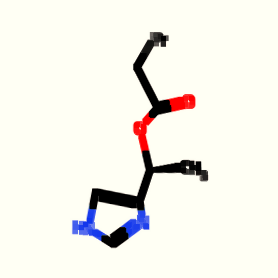 CC(C)CC(=O)O[C@@H](C)c1c[nH]cn1